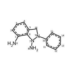 Nc1cccc2c1N(N)N(c1ccccc1)C2